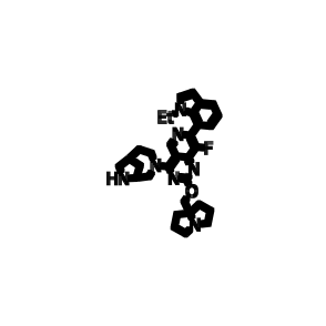 CCn1ccc2cccc(-c3ncc4c(N5CCC6CNC(C6)C5)nc(OCC56CCCN5CCC6)nc4c3F)c21